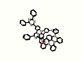 CC(C)(C)c1ccc2c(c1)c1cc(C(C)(C)C)ccc1n2-c1ccc(-c2nc(-c3ccccc3)nc(-c3ccccc3)n2)cc1-c1cc(-c2ccccc2)nc(-c2cccc(-c3ccc4c5c3N(c3ccccc3)c3ccccc3B5c3ccccc3N4c3ccccc3)c2)n1